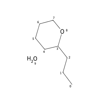 CCCC1CCCCO1.O